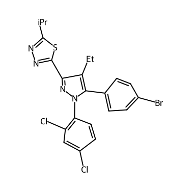 CCc1c(-c2nnc(C(C)C)s2)nn(-c2ccc(Cl)cc2Cl)c1-c1ccc(Br)cc1